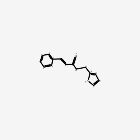 O=C(C=Cc1ccccc1)CCc1cccs1